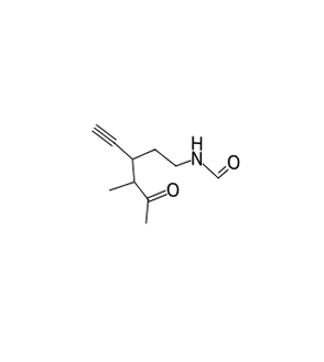 C#CC(CCNC=O)C(C)C(C)=O